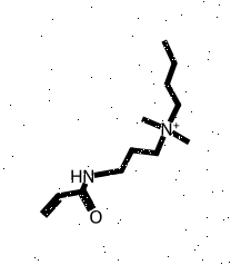 C=CC(=O)NCCC[N+](C)(C)CCCC